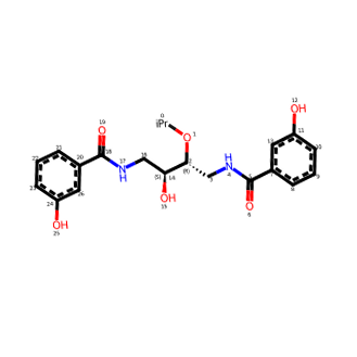 CC(C)O[C@H](CNC(=O)c1cccc(O)c1)[C@@H](O)CNC(=O)c1cccc(O)c1